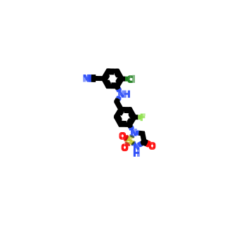 N#Cc1ccc(Cl)c(NCc2ccc(N3CC(=O)NS3(=O)=O)c(F)c2)c1